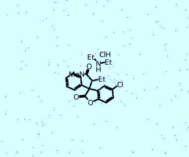 CCC(C(=O)NC)C1(c2ccccc2)C(=O)Oc2ccc(Cl)cc21.CCNCC.Cl